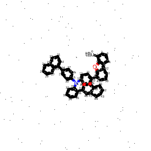 CC(C)(C)c1cccc2c1oc1c(-c3ccc(N(c4ccc(-c5cccc6ccccc56)cc4)c4ccccc4-c4ccc5ccccc5c4)cc3)cccc12